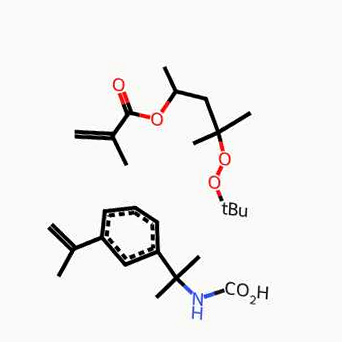 C=C(C)C(=O)OC(C)CC(C)(C)OOC(C)(C)C.C=C(C)c1cccc(C(C)(C)NC(=O)O)c1